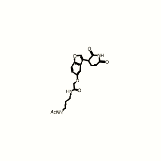 CC(=O)NCCCNC(=O)COc1ccc2occ(C3CCC(=O)NC3=O)c2c1